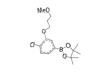 COCCCOc1cc(B2OC(C)(C)C(C)(C)O2)ccc1Cl